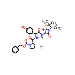 CC1(C)S[C@@H]2[C@H](NC(=O)C(NC(=O)[C@H]3CCCN3C(=O)OCc3ccccc3)c3ccc(O)cc3)C(=O)N2[C@H]1C(=O)[O-].[K+]